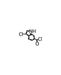 O=C(Cl)c1ccc2c(Cl)c[nH]c2c1